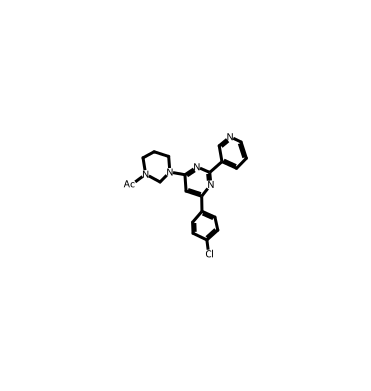 CC(=O)N1CCCN(c2cc(-c3ccc(Cl)cc3)nc(-c3cccnc3)n2)C1